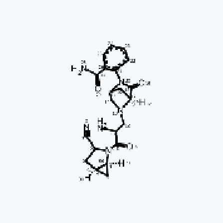 N#CC1C[C@@H]2C[C@@H]2N1C(=O)C(N)CN1CC2C[C@H]1C(=O)N2c1ccccc1C(N)=O